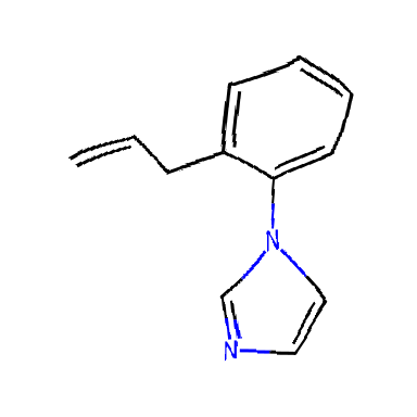 C=CCc1ccccc1-n1ccnc1